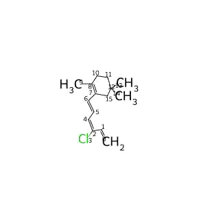 C=C/C(Cl)=C\C=C\C1=C(C)CCC(C)(C)C1